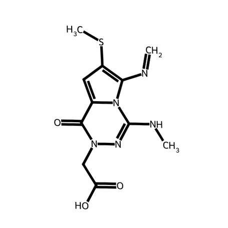 C=Nc1c(SC)cc2c(=O)n(CC(=O)O)nc(NC)n12